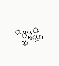 CCOC(=O)C(Oc1nc(-c2cccs2)cc(-c2ccco2)c1N)c1ccccc1